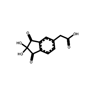 O=C(O)Cc1ccc2c(c1)C(=O)C(O)(O)C2=O